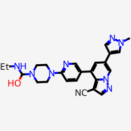 CCNC(O)N1CCN(c2ccc(-c3cc(-c4cnn(C)c4)cn4ncc(C#N)c34)cn2)CC1